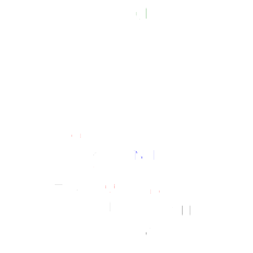 COC(=O)C(CCc1ccc(Cl)cc1)NC(=O)OC(C)(C)C